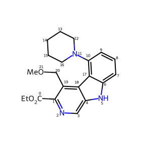 CCOC(=O)c1ncc2[nH]c3cccc(N4CCCCC4)c3c2c1COC